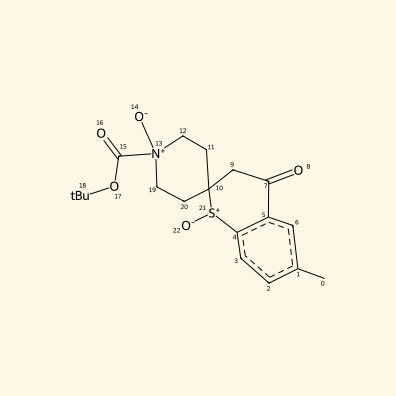 Cc1ccc2c(c1)C(=O)CC1(CC[N+]([O-])(C(=O)OC(C)(C)C)CC1)[S+]2[O-]